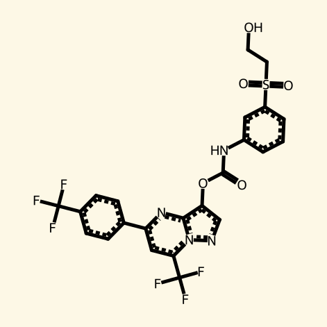 O=C(Nc1cccc(S(=O)(=O)CCO)c1)Oc1cnn2c(C(F)(F)F)cc(-c3ccc(C(F)(F)F)cc3)nc12